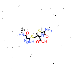 CNC(=O)c1nn[nH]c1SCC1=C(C(=O)O)N2C(=O)C(N)[C@@H]2SC1